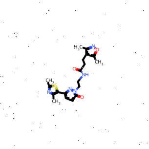 Cc1nc(C)c(-c2ccc(=O)n(CCNC(=O)CCc3c(C)noc3C)n2)s1